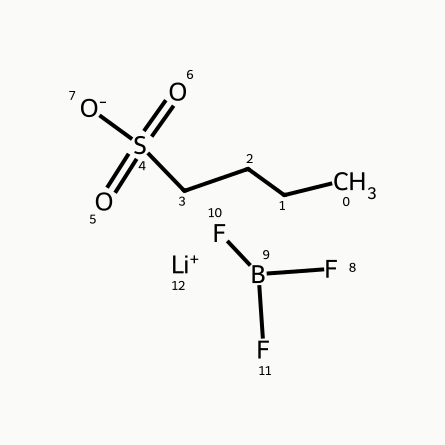 CCCCS(=O)(=O)[O-].FB(F)F.[Li+]